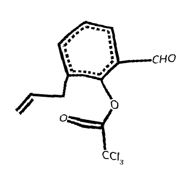 C=CCc1cccc(C=O)c1OC(=O)C(Cl)(Cl)Cl